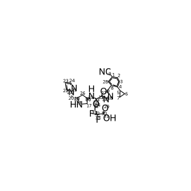 N#Cc1ccc(C2CC2)c(-c2nnc(C(=O)N[C@H]3CN[C@H](Cn4cccn4)C3)o2)c1.O=C(O)C(F)(F)F